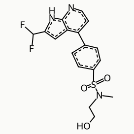 CN(CCO)S(=O)(=O)c1ccc(-c2ccnc3[nH]c(C(F)F)cc23)cc1